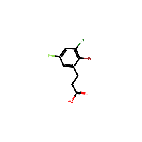 O=C(O)CCc1cc(F)cc(Cl)c1Br